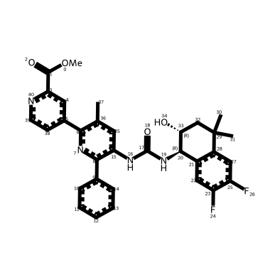 COC(=O)c1cc(-c2nc(-c3ccccc3)c(NC(=O)N[C@@H]3c4cc(F)c(F)cc4C(C)(C)C[C@H]3O)cc2C)ccn1